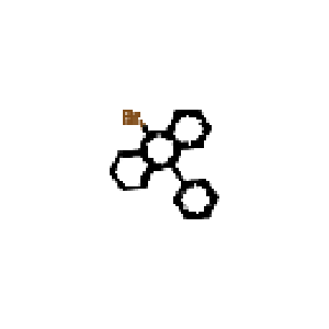 Brc1c2c(c(-c3ccccc3)c3ccccc13)=CCCC=2